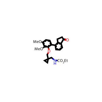 CCOC(=O)NCC1(COc2c(-c3cccc4c3CCC4=O)ccc(OC)c2OC)CC1